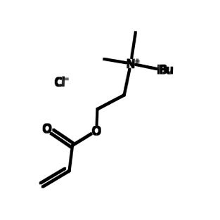 C=CC(=O)OCC[N+](C)(C)C(C)CC.[Cl-]